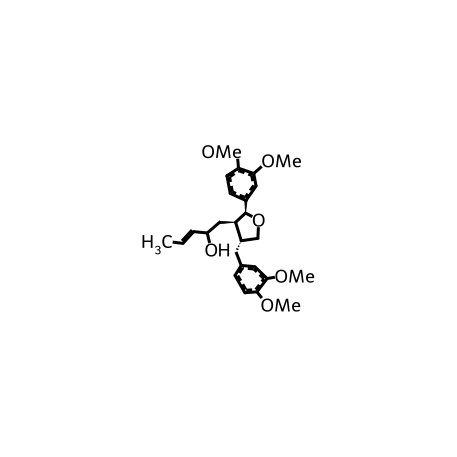 CC=CC(O)C[C@@H]1[C@@H](Cc2ccc(OC)c(OC)c2)CO[C@@H]1c1ccc(OC)c(OC)c1